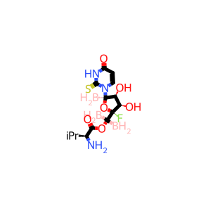 BC(B)(OC(=O)[C@@H](N)C(C)C)[C@@]1(F)O[C@@](B)(n2ccc(=O)[nH]c2=S)[C@H](O)[C@@H]1O